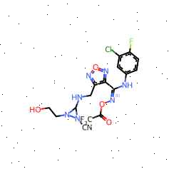 N#CN1C(NCc2nonc2/C(=N\OC(=O)C(F)(F)F)Nc2ccc(F)c(Cl)c2)N1CCO